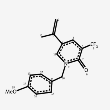 C=C(C)c1cc(C(F)(F)F)c(=O)n(Cc2ccc(OC)cc2)c1